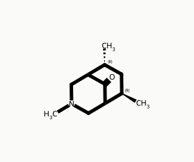 C[C@@H]1C[C@@H](C)C2CN(C)CC1C2=O